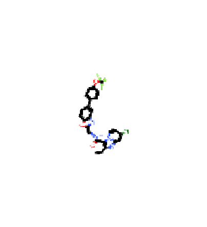 CCc1nc2cc(Cl)ccn2c1C(=O)NCc1nc2cc(-c3ccc(OC(F)(F)F)cc3)ccc2o1